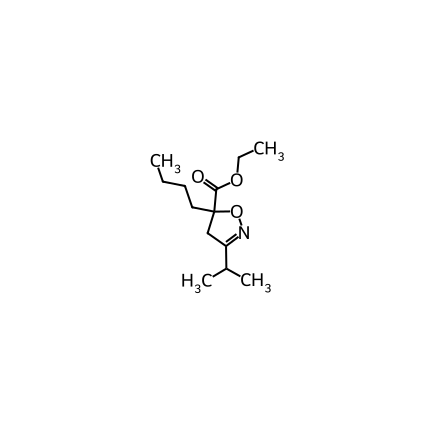 CCCCC1(C(=O)OCC)CC(C(C)C)=NO1